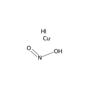 I.O=NO.[Cu]